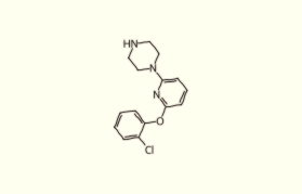 Clc1ccccc1Oc1cccc(N2CCNCC2)n1